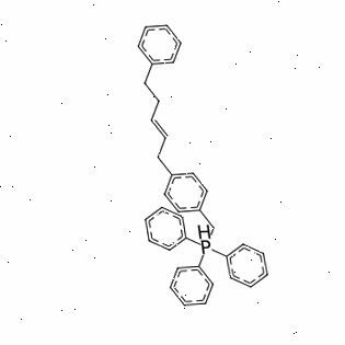 C(=CCc1ccc(C[PH](c2ccccc2)(c2ccccc2)c2ccccc2)cc1)CCc1ccccc1